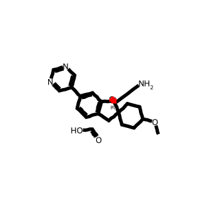 COC1CCC2(CC1)Cc1ccc(-c3cncnc3)cc1[C@@]21COC(N)=N1.O=CO